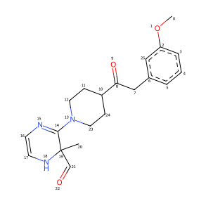 COc1cccc(CC(=O)C2CCN(C3=NC=CNC3(C)C=O)CC2)c1